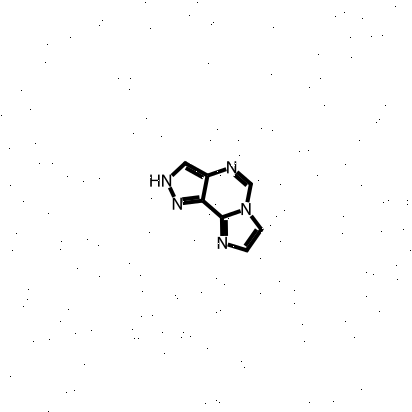 c1cn2cnc3c[nH]nc3c2n1